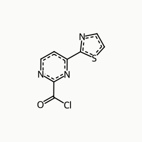 O=C(Cl)c1nccc(-c2nccs2)n1